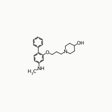 CNc1ccc(-c2ccccc2)c(OCCCN2CCC(O)CC2)c1